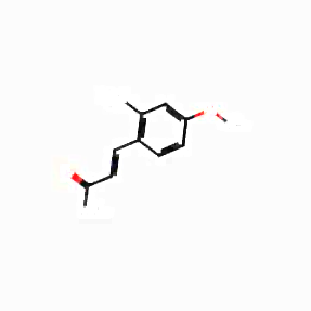 CCCCOc1ccc(/C=C/C(=O)OC)c(C)c1